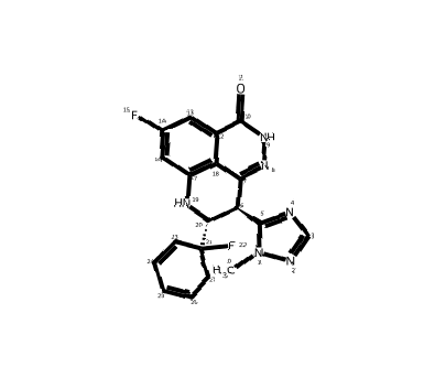 Cn1ncnc1[C@@H]1c2n[nH]c(=O)c3cc(F)cc(c23)N[C@H]1C1(F)C=CC=CC1